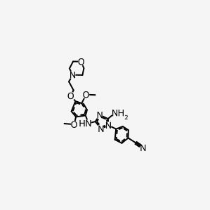 COc1cc(OCCN2CCOCC2)c(OC)cc1Nc1nc(N)n(-c2ccc(C#N)cc2)n1